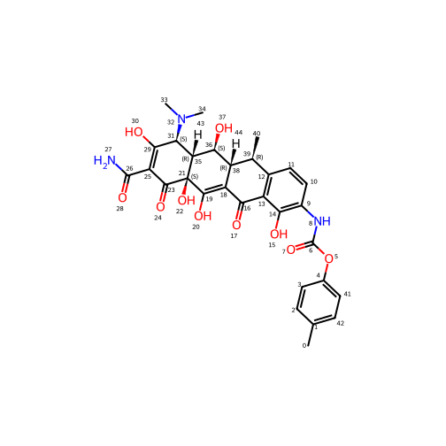 Cc1ccc(OC(=O)Nc2ccc3c(c2O)C(=O)C2=C(O)[C@]4(O)C(=O)C(C(N)=O)=C(O)[C@@H](N(C)C)[C@@H]4[C@@H](O)[C@@H]2[C@H]3C)cc1